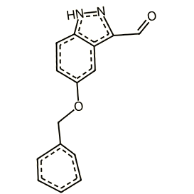 O=Cc1n[nH]c2ccc(OCc3ccccc3)cc12